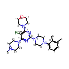 Cc1cccc(N2CCN(c3nc(N4CCOCC4)c(F)c(N4CCN(C)CC4)n3)CC2)c1C